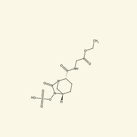 CCOC(=O)CNC(=O)[C@@H]1CC[C@H]2CN1C(=O)N2OS(=O)(=O)O